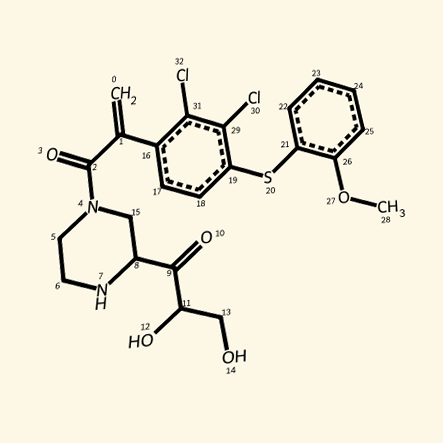 C=C(C(=O)N1CCNC(C(=O)C(O)CO)C1)c1ccc(Sc2ccccc2OC)c(Cl)c1Cl